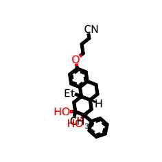 CCC12CC(C)(O)C(O)(c3ccccc3)C[C@H]1CCc1cc(OCCCC#N)ccc12